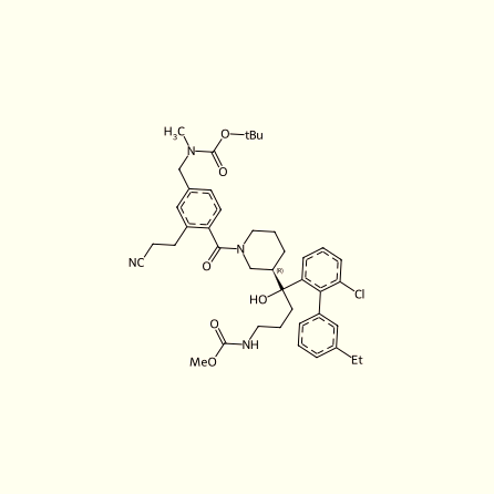 CCc1cccc(-c2c(Cl)cccc2C(O)(CCCNC(=O)OC)[C@@H]2CCCN(C(=O)c3ccc(CN(C)C(=O)OC(C)(C)C)cc3CCC#N)C2)c1